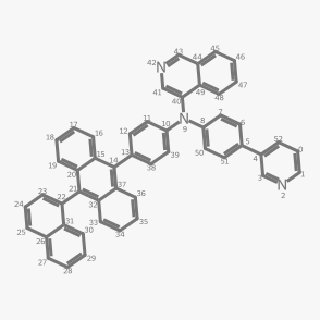 c1cncc(-c2ccc(N(c3ccc(-c4c5ccccc5c(-c5cccc6ccccc56)c5ccccc45)cc3)c3cncc4ccccc34)cc2)c1